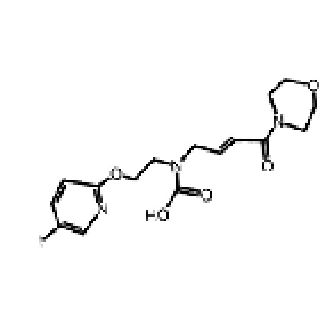 O=C(O)N(CC=CC(=O)N1CCOCC1)CCOc1ccc(I)cn1